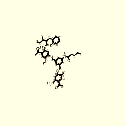 CCCCC(=O)Nc1cc(COc2cc(N)c(C(C)=O)cc2C)cc(COc2cc(NCC(Cc3ccccc3C)C(C)CC)c(C(C)=O)cc2OC)c1